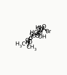 CCCN(CCC)S(=O)(=O)c1ccc(C(=O)OCC(=O)[C@]2(O)C[C@H](n3cc(C=CBr)c(=O)[nH]c3=O)O[C@@H]2CO)cc1